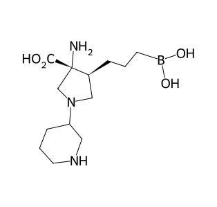 N[C@@]1(C(=O)O)CN(C2CCCNC2)C[C@@H]1CCCB(O)O